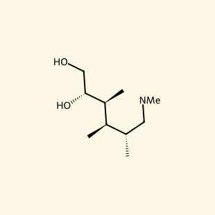 CNC[C@H](C)[C@@H](C)[C@H](C)[C@H](O)CO